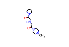 CN1CCN(C(=O)CNCC(=O)N2CCCC2)CC1